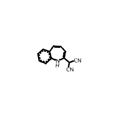 N#CC(C#N)C1=CC=Cc2ccccc2N1